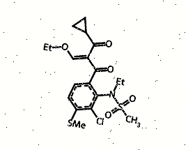 CCOC=C(C(=O)c1ccc(SC)c(Cl)c1N(CC)S(C)(=O)=O)C(=O)C1CC1